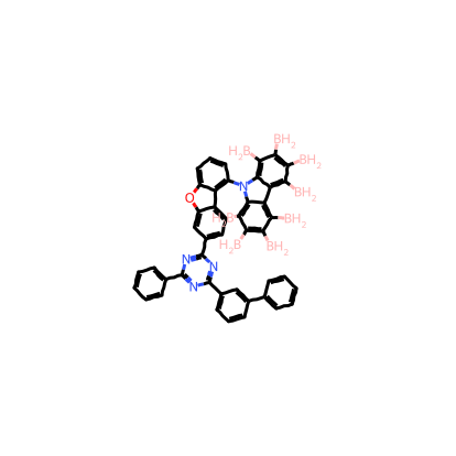 Bc1c(B)c(B)c2c(c1B)c1c(B)c(B)c(B)c(B)c1n2-c1cccc2oc3cc(-c4nc(-c5ccccc5)nc(-c5cccc(-c6ccccc6)c5)n4)ccc3c12